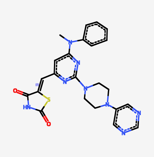 CN(c1ccccc1)c1cc(/C=C2\SC(=O)NC2=O)nc(N2CCN(c3cncnc3)CC2)n1